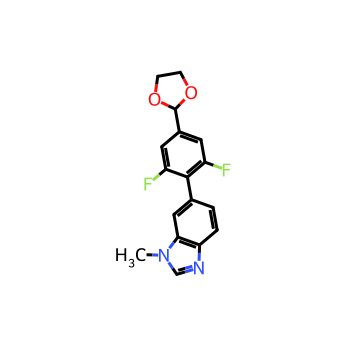 Cn1cnc2ccc(-c3c(F)cc(C4OCCO4)cc3F)cc21